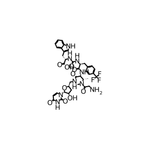 C[C@@H]([C@H](NC(=O)[C@H](Cc1ccc(C(F)(F)F)cc1)NC(=O)N[C@@H](Cc1c[nH]c2ccccc12)C(=O)O)C(=O)NC[C@H]1C[C@@H](O)[C@H](n2ccc(=O)[nH]c2=O)O1)N(C)C(=O)CN